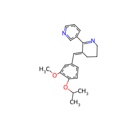 COc1cc(/C=C2\CCCN=C2c2cccnc2)ccc1OC(C)C